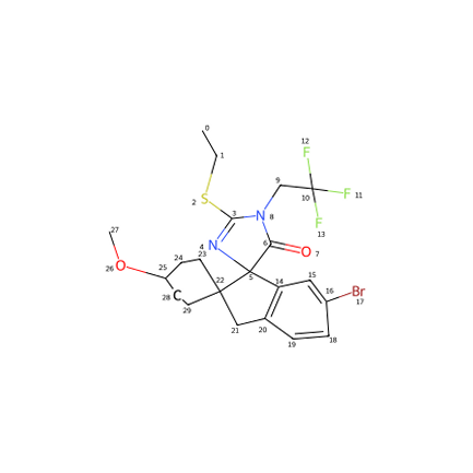 CCSC1=NC2(C(=O)N1CC(F)(F)F)c1cc(Br)ccc1CC21CCC(OC)CC1